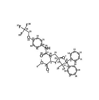 COC(=O)C1C[C@H](O[Si](c2ccccc2)(c2ccccc2)C(C)(C)C)CN1C(=O)Nc1ccc(OCC(F)(F)F)cc1